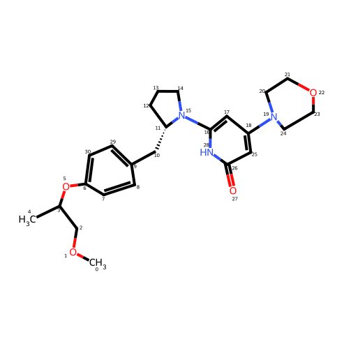 COCC(C)Oc1ccc(C[C@@H]2CCCN2c2cc(N3CCOCC3)cc(=O)[nH]2)cc1